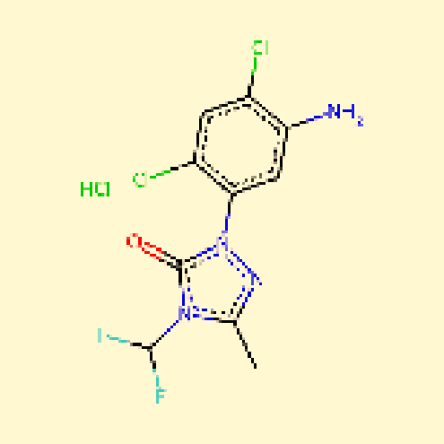 Cc1nn(-c2cc(N)c(Cl)cc2Cl)c(=O)n1C(F)F.Cl